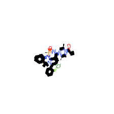 C=CC(=O)N1C[C@H](C)N(C2=N[P@](C)(=O)N(c3ccccc3C(C)(C)C)c3nc(-c4ccccc4F)c(Cl)cc32)C[C@H]1C